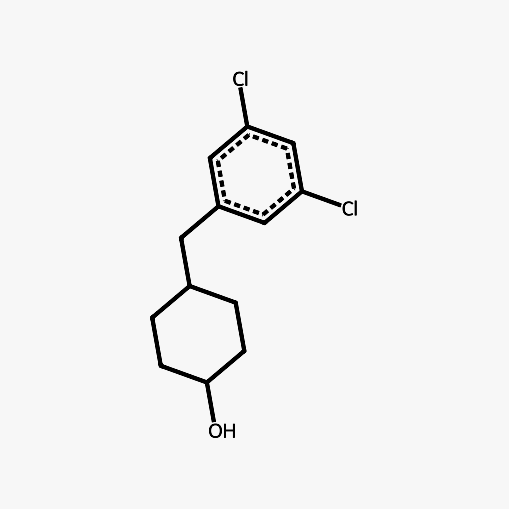 OC1CCC(Cc2cc(Cl)cc(Cl)c2)CC1